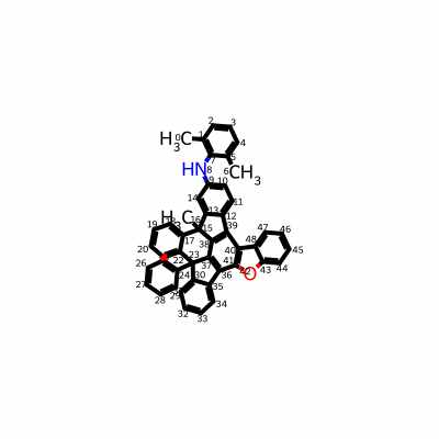 Cc1cccc(C)c1Nc1ccc2c(c1)C1(C)c3ccccc3C3(c4ccccc4)c4ccccc4-c4c3c1c-2c1c4oc2ccccc21